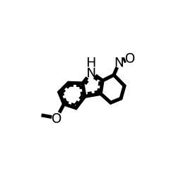 COc1ccc2[nH]c3c(c2c1)CCCC3N=O